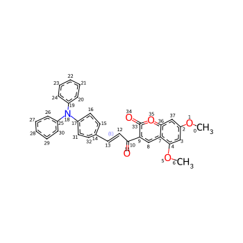 COc1cc(OC)c2cc(C(=O)/C=C/c3ccc(N(c4ccccc4)c4ccccc4)cc3)c(=O)oc2c1